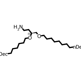 CCCCCCCCCCCCCCCCCCOC[C@H](CCN)OCCCCCCCCCCCCCCCC